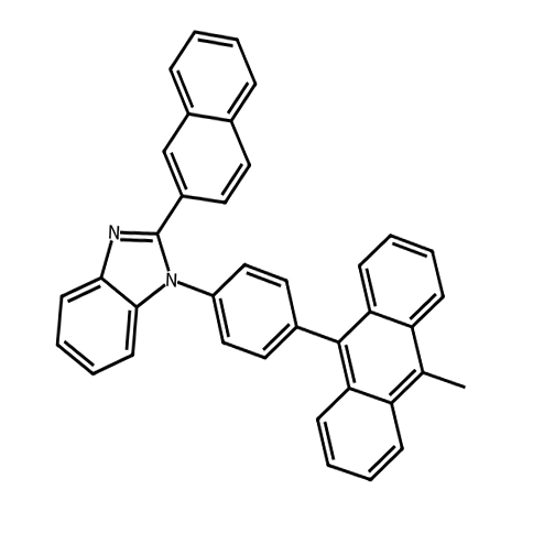 Cc1c2ccccc2c(-c2ccc(-n3c(-c4ccc5ccccc5c4)nc4ccccc43)cc2)c2ccccc12